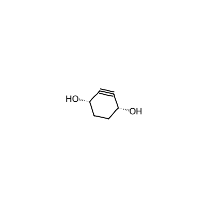 O[C@@H]1C#C[C@H](O)CC1